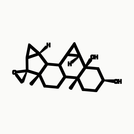 C[C@]12CCC3C(C4C[C@H]4[C@]4(O)C[C@@H](O)CC[C@]34C)C1[C@@H]1CC1[C@@]21CO1